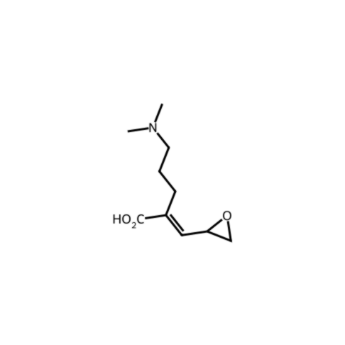 CN(C)CCCC(=CC1CO1)C(=O)O